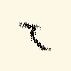 CN/C=N\C(=N)c1ccc(C2=CCN(C(=O)CN3CC[C@]4(CCN(c5ccc(N)c(C(=N)c6ccc7c(c6)OC(C)(C)O7)c5)C4=O)C3)CC2)cc1